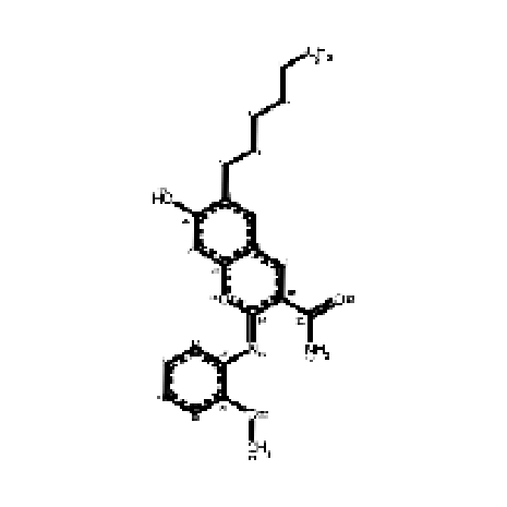 CCCCCCc1cc2cc(C(N)=O)c(=Nc3ccccc3OC)oc2cc1O